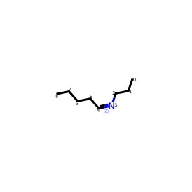 [CH2]CC/N=[C]\CCCC